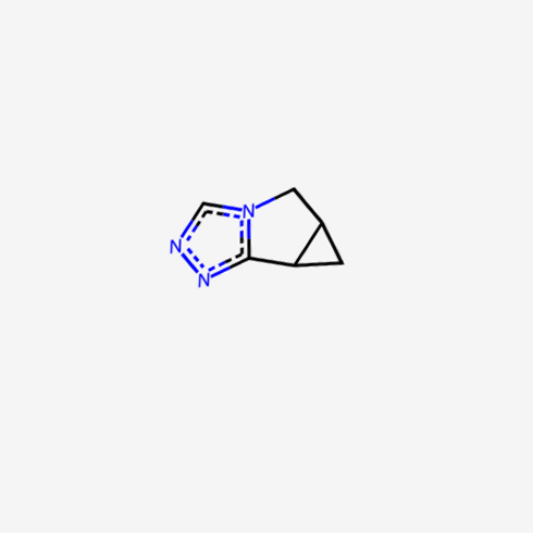 c1nnc2n1CC1CC21